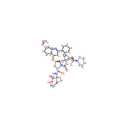 C=C1CCC1(NC(=O)[C@@H]1C[C@@H](Oc2cc(-c3ccccc3)nc3cc(OC)ccc23)CN1C(=O)[C@@H](CC(=O)N1CCCCC1)C(C)(C)C)C(=O)O